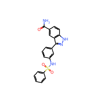 NC(=O)c1ccc2[nH]nc(-c3cccc(NS(=O)(=O)c4ccccc4)c3)c2c1